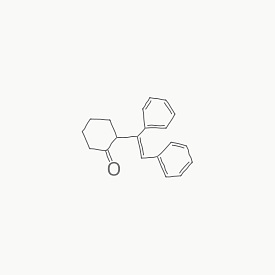 O=C1CCCCC1C(=Cc1ccccc1)c1ccccc1